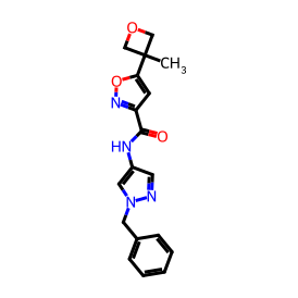 CC1(c2cc(C(=O)Nc3cnn(Cc4ccccc4)c3)no2)COC1